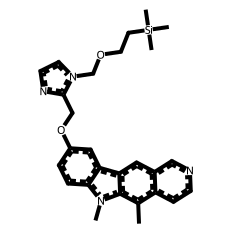 Cc1c2ccncc2cc2c3cc(OCc4nccn4COCC[Si](C)(C)C)ccc3n(C)c12